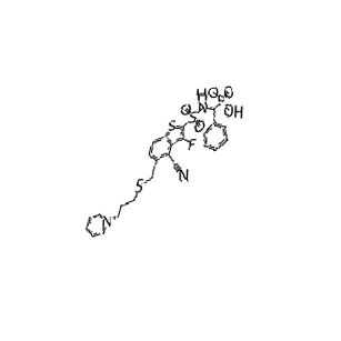 N#Cc1c(CSCCC[n+]2ccccc2)ccc2sc(S(=O)(=O)NC(c3ccccc3)P(=O)(O)O)c(F)c12